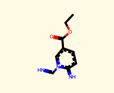 CCOC(=O)c1ccc(=N)n(C=N)c1